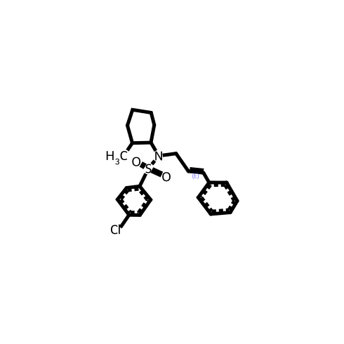 CC1CCCCC1N(C/C=C/c1ccccc1)S(=O)(=O)c1ccc(Cl)cc1